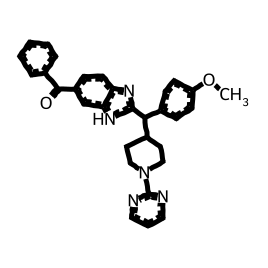 COc1ccc(C(c2nc3ccc(C(=O)c4ccccc4)cc3[nH]2)C2CCN(c3ncccn3)CC2)cc1